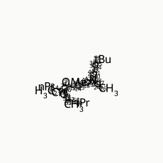 CCCC(C)(C)C=Cc1cc(OC)c(C=Cc2ccc(-c3ccc(N(c4ccc(C)cc4)c4ccc(-c5ccc(C(C)(C)C)cc5)cc4)cc3)cc2)cc1OCCC(C)CCCC(C)C